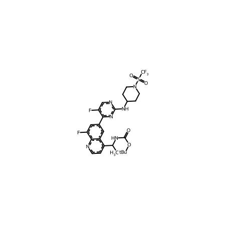 CC(NC(=O)OC(C)(C)C)c1ccnc2c(F)cc(-c3nc(NC4CCN(S(=O)(=O)C(F)(F)F)CC4)ncc3F)cc12